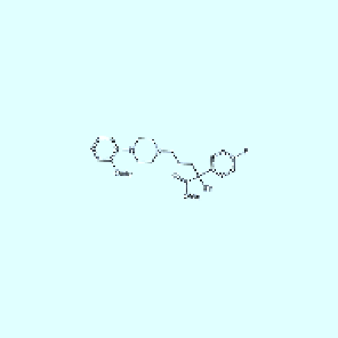 COC(=O)C(CCCN1CCN(c2ccccc2OC)CC1)(c1ccc(F)cc1)C(C)C